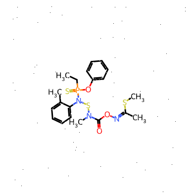 CCP(=S)(Oc1ccccc1)N(SN(C)C(=O)ON=C(C)SC)c1ccccc1C